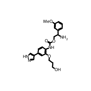 COc1cccc(C(N)COC(=O)Nc2ccc(-c3cn[nH]c3)cc2OCCCO)c1